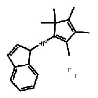 CC1=C(C)C(C)(C)[C]([Hf+2][CH]2C=Cc3ccccc32)=C1C.[I-].[I-]